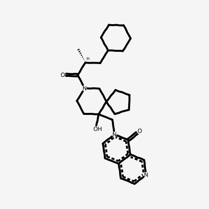 C[C@H](CC1CCCCC1)C(=O)N1CCC(O)(Cn2ccc3ccncc3c2=O)C2(CCCC2)C1